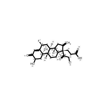 C=C1C[C@H]2[C@@H]3C[C@H](F)C4=CC(=O)C(O)C[C@]4(C)[C@H]3CC[C@]2(C)[C@@]1(CCC(=O)O)C(=O)CCl